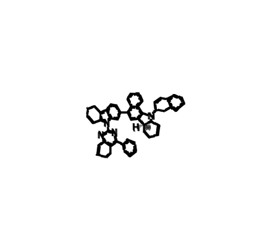 C1=Cc2nc(-n3c4c(c5ccc(-c6cc7c(c8ccccc68)N(C6C=Cc8ccccc8C6)C6C=CCC[C@@H]76)cc53)CCC=C4)nc(-c3ccccc3)c2CC1